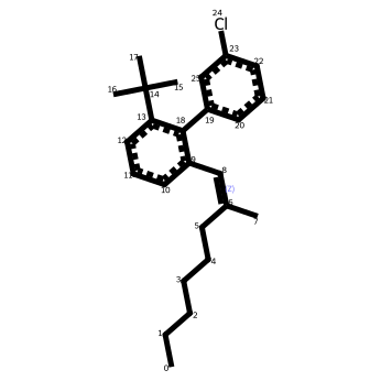 CCCCCC/C(C)=C\c1cccc(C(C)(C)C)c1-c1cccc(Cl)c1